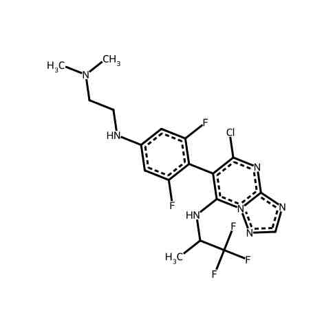 CC(Nc1c(-c2c(F)cc(NCCN(C)C)cc2F)c(Cl)nc2ncnn12)C(F)(F)F